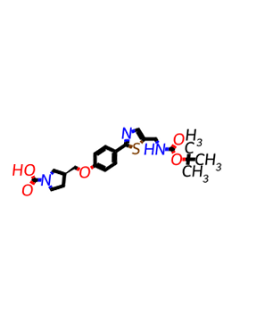 CC(C)(C)OC(=O)NCc1cnc(-c2ccc(OC[C@H]3CCN(C(=O)O)C3)cc2)s1